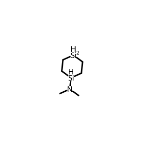 CN(C)[SiH]1CC[SiH2]CC1